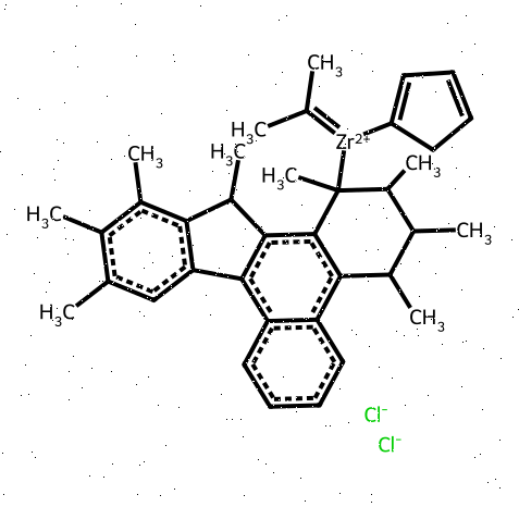 C[C](C)=[Zr+2]([C]1=CC=CC1)[C]1(C)c2c3c(c4ccccc4c2C(C)C(C)C1C)-c1cc(C)c(C)c(C)c1C3C.[Cl-].[Cl-]